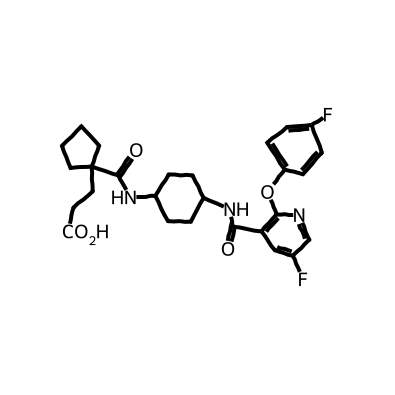 O=C(O)CCC1(C(=O)NC2CCC(NC(=O)c3cc(F)cnc3Oc3ccc(F)cc3)CC2)CCCC1